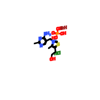 Br.Cc1ncc(C[n+]2csc(CCO)c2C)c(N)n1.Cl.O=P(O)(O)O